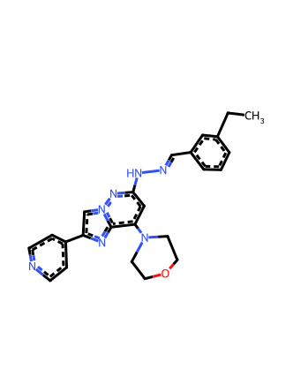 CCc1cccc(C=NNc2cc(N3CCOCC3)c3nc(-c4ccncc4)cn3n2)c1